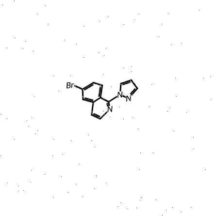 Brc1ccc2c(-n3cccn3)nccc2c1